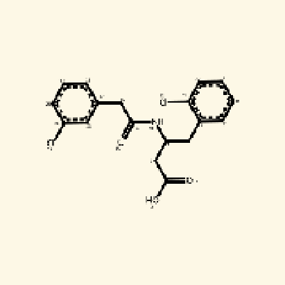 O=C(O)CC(Cc1ccccc1Cl)NC(=O)Cc1cccc(Cl)c1